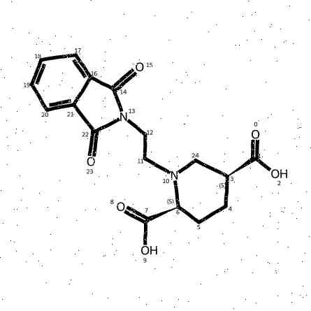 O=C(O)[C@H]1CC[C@@H](C(=O)O)N(CCN2C(=O)c3ccccc3C2=O)C1